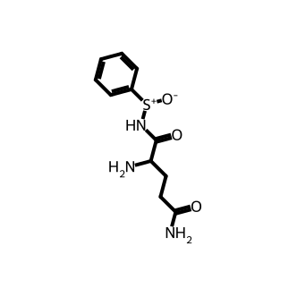 NC(=O)CCC(N)C(=O)N[S+]([O-])c1ccccc1